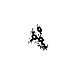 Cn1nc(C(F)(F)F)cc1-c1ccc(OCc2ccc(F)cc2)c(-c2cc(C(F)(F)F)cc(C(F)(F)F)c2)c1O